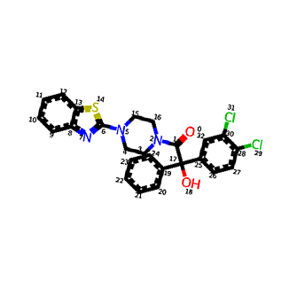 O=C(N1CCN(c2nc3ccccc3s2)CC1)C(O)(c1ccccc1)c1ccc(Cl)c(Cl)c1